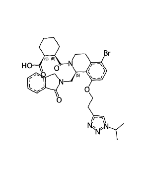 CC(C)n1cc(CCOc2ccc(Br)c3c2[C@@H](CN2Cc4ccccc4C2=O)N(C(=O)[C@@H]2CCCC[C@@H]2C(=O)O)CC3)nn1